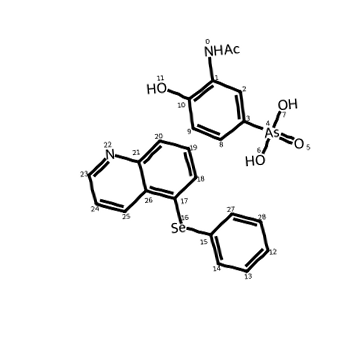 CC(=O)Nc1cc([As](=O)(O)O)ccc1O.c1ccc([Se]c2cccc3ncccc23)cc1